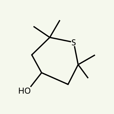 CC1(C)CC(O)CC(C)(C)S1